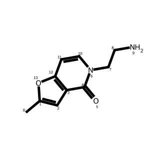 Cc1cc2c(=O)n(CCN)ccc2o1